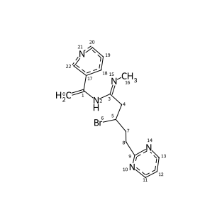 C=C(N/C(CC(Br)CCc1ncccn1)=N/C)c1cccnc1